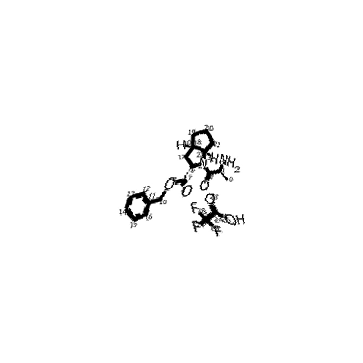 C[C@H](N)C(=O)N1[C@H](C(=O)OCc2ccccc2)C[C@@H]2CCC[C@@H]21.O=C(O)C(F)(F)F